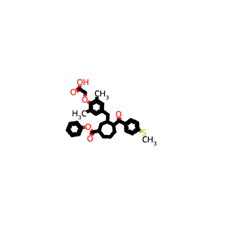 CSc1ccc(C(=O)C2CCCC(C(=O)Oc3ccccc3)CC2Cc2cc(C)c(OCC(=O)O)c(C)c2)cc1